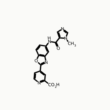 Cn1cncc1C(=O)Nc1ccc2oc(-c3ccnc(C(=O)O)c3)nc2c1